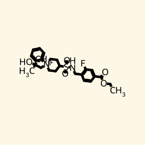 CCOC(=O)c1ccc(CNS(=O)(=O)C2CC[N+](CC(C)(C)O)(c3ccccc3)CC2)c(F)c1